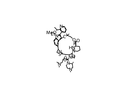 CCn1c(-c2cccnc2[C@H](C)OC)c2c3cc(ccc31)C1CSC(=N1)[C@@H](OCCN(C)C)[C@H](NC(=O)N1CCN(C)C[C@@H]1C)C(=O)N1CCC[C@H](N1)C(=O)OCC(C)(C)C2